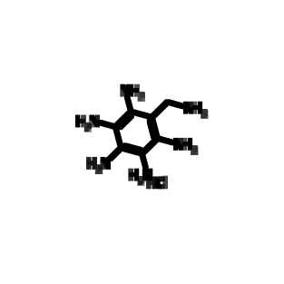 Cl.NCc1c(N)c(N)c(N)c(N)c1N